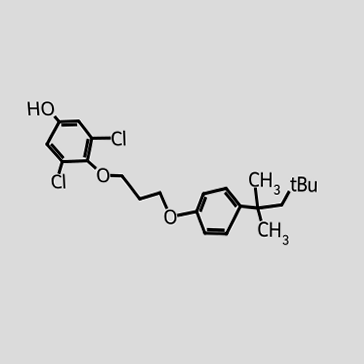 CC(C)(C)CC(C)(C)c1ccc(OCCCOc2c(Cl)cc(O)cc2Cl)cc1